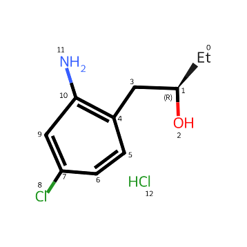 CC[C@@H](O)Cc1ccc(Cl)cc1N.Cl